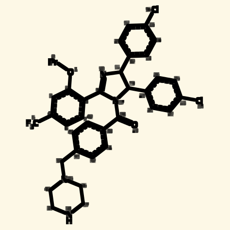 CC(C)Oc1cc(C(F)(F)F)ccc1C1=NC(c2ccc(Cl)cc2)C(c2ccc(Cl)cc2)N1C(=O)c1ccc(CN2CCNCC2)cc1